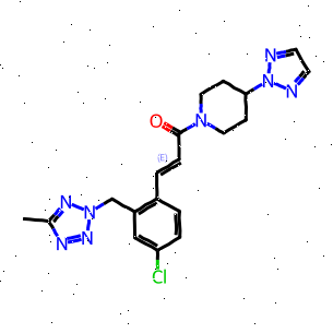 Cc1nnn(Cc2cc(Cl)ccc2/C=C/C(=O)N2CCC(n3nccn3)CC2)n1